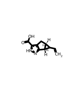 C=CC1[C@@H]2Cc3c(n[nH]c3C(=O)O)[C@@H]12